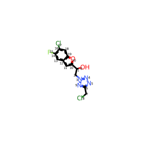 OC(Cn1nnc(CCl)n1)c1cc2cc(F)c(Cl)cc2o1